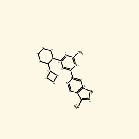 Nc1nc(-c2ccc3c(N)n[nH]c3c2)cc(N2CCC[CH]C2C2CCC2)n1